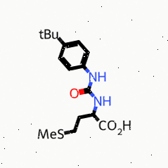 CSCCC(NC(=O)Nc1ccc(C(C)(C)C)cc1)C(=O)O